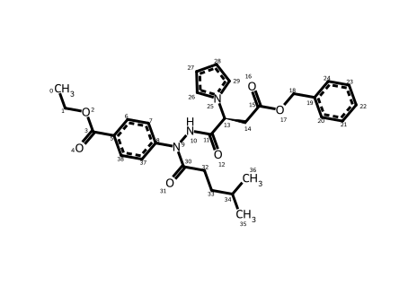 CCOC(=O)c1ccc(N(NC(=O)[C@H](CC(=O)OCc2ccccc2)n2cccc2)C(=O)CCC(C)C)cc1